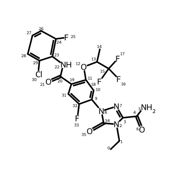 CCn1c(C(N)=O)nn(-c2cc(OC(C)C(F)(F)F)c(C(=O)Nc3c(F)cccc3Cl)cc2F)c1=O